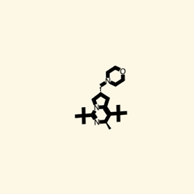 C[C@H]1N=C(C(C)(C)C)N2C[C@H](CN3CCOCC3)CC2=C1C(C)(C)C